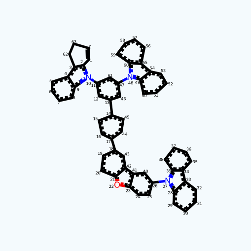 C1=Cc2c(c3ccccc3n2-c2cc(-c3ccc(-c4ccc5oc6ccc(-n7c8ccccc8c8ccccc87)cc6c5c4)cc3)cc(-n3c4ccccc4c4ccccc43)c2)CC1